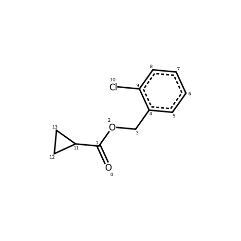 O=C(OCc1ccccc1Cl)C1CC1